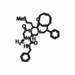 CSCC[C@@H]1N2C(=O)CN(C)N(C(=O)NCc3ccccc3)[C@H]2CN2CC(c3ccccc3)C3=CC4OC(/C=C\C=C/3)C412